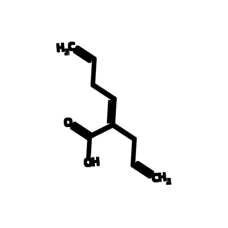 C=CCC=C(CC=C)C(=O)O